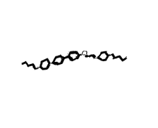 CCCCC[C@H]1CC[C@H](/C=C/COc2ccc(-c3ccc([C@H]4CC[C@H](CCCCC)CC4)cc3)cc2)CC1